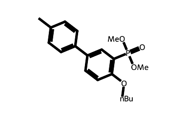 CCCCOc1ccc(-c2ccc(C)cc2)cc1P(=O)(OC)OC